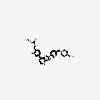 CN1CCN(Cc2ccc(-c3nc4c(-c5ccc(CNC(=O)OC(C)(C)C)c(F)c5)ccnc4[nH]3)nc2)CC1